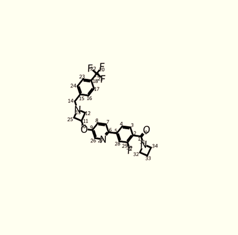 O=C(c1ccc(-c2ccc(OC3CN(Cc4ccc(C(F)(F)F)cc4)C3)cn2)cc1F)N1CCC1